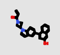 C=CC(=O)N1CC(n2ccc3cc(-c4cc(O)cc5ccccc45)ccc32)C1